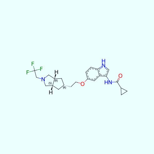 O=C(Nc1c[nH]c2ccc(OCC[C@@H]3C[C@@H]4CN(CC(F)(F)F)C[C@@H]4C3)cc12)C1CC1